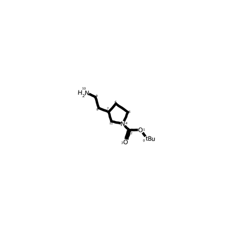 CC(C)(C)OC(=O)N1CCC(CCN)C1